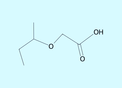 CCC(C)OCC(=O)O